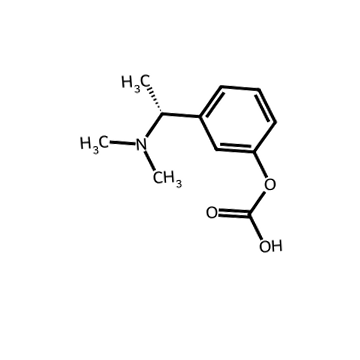 C[C@H](c1cccc(OC(=O)O)c1)N(C)C